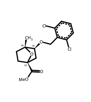 COC(=O)[C@@]12CC[C@@](C)(O1)[C@@H](OCc1c(Cl)cccc1Cl)C2